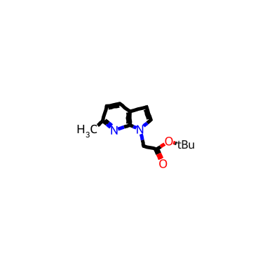 Cc1ccc2ccn(CC(=O)OC(C)(C)C)c2n1